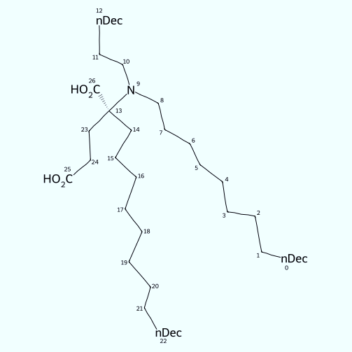 CCCCCCCCCCCCCCCCCCN(CCCCCCCCCCCC)[C@@](CCCCCCCCCCCCCCCCCC)(CCC(=O)O)C(=O)O